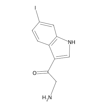 NCC(=O)c1c[nH]c2cc(I)ccc12